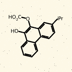 CC(C)c1ccc2c(c1)c(OC(=O)O)c(O)c1ccccc12